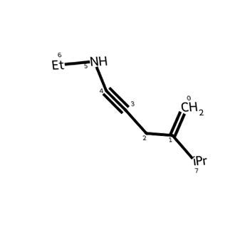 C=C(CC#CNCC)C(C)C